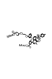 COC(=O)c1ccc(Oc2cccc(OCCOC3CCN(C(=O)OC(C)(C)C)CC3)c2)c(-c2cn(C)c(=O)c3c2ccn3S(=O)(=O)c2ccc(C)cc2)c1